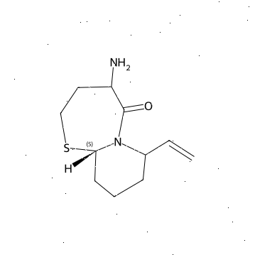 C=CC1CCC[C@@H]2SCCC(N)C(=O)N12